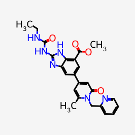 CCNC(=O)Nc1nc2cc(-c3cc(C)n(Cc4ccccn4)c(=O)c3)cc(C(=O)OC)c2[nH]1